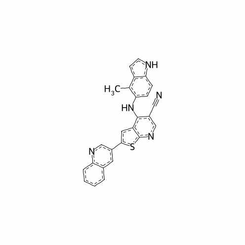 Cc1c(Nc2c(C#N)cnc3sc(-c4cnc5ccccc5c4)cc23)ccc2[nH]ccc12